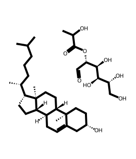 CC(C)CCC[C@@H](C)[C@H]1CC[C@H]2[C@@H]3CC=C4C[C@@H](O)CC[C@]4(C)[C@H]3CC[C@]12C.CC(O)C(=O)O[C@@H](C=O)[C@@H](O)[C@H](O)[C@H](O)CO